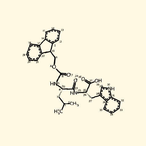 CC(C)C[C@H](NC(=O)OCC1c2ccccc2-c2ccccc21)C(=O)N[C@@H](Cc1c[nH]c2ccccc12)C(=O)O